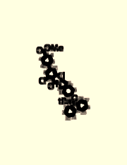 COC(=O)c1ccc(-c2cc(Cl)c(C(=O)N3CCC4(CCC(O[Si](c5ccccc5)(c5ccccc5)C(C)(C)C)CC4)C3)c(Cl)c2)cc1